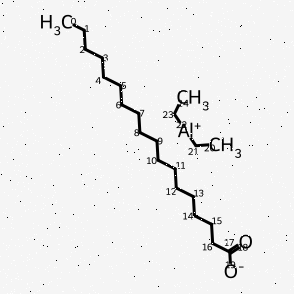 CCCCCCCCCCCCCCCCCC(=O)[O-].C[CH2][Al+][CH2]C